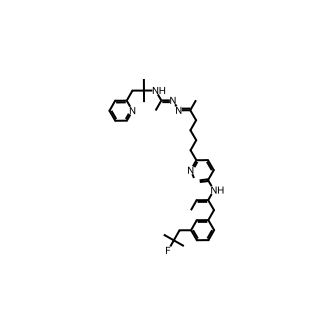 C=C(/C=C\C(CCCC/C(C)=N/N=C(\C)NC(C)(C)Cc1ccccn1)=N/C)N/C(=C/C)Cc1cccc(CC(C)(C)F)c1